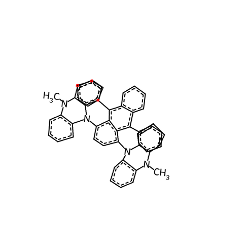 CN1c2ccccc2N(c2ccc(N3c4ccccc4N(C)C4C=CC=CC43)c3c(-c4ccccc4)c4ccccc4c(-c4ccccc4)c23)c2ccccc21